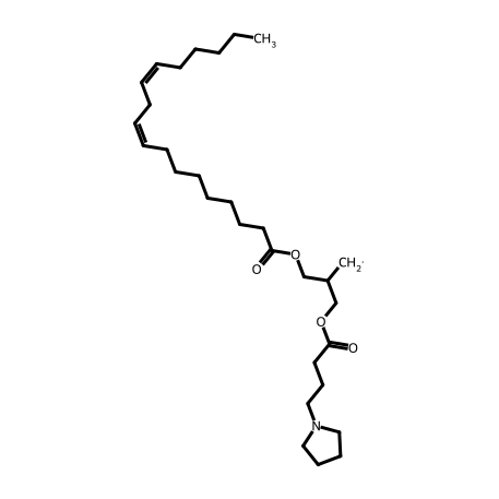 [CH2]C(COC(=O)CCCCCCC/C=C\C/C=C\CCCCC)COC(=O)CCCN1CCCC1